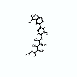 COC(=O)c1cncc(-c2ccc(OC(O)C(O)C(O)C(O)C(C)CO)c(C)c2)c1